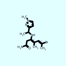 CC(/C=C(\C)Br)=C(\CC(N)=O)NC(C)c1ccn(C)n1